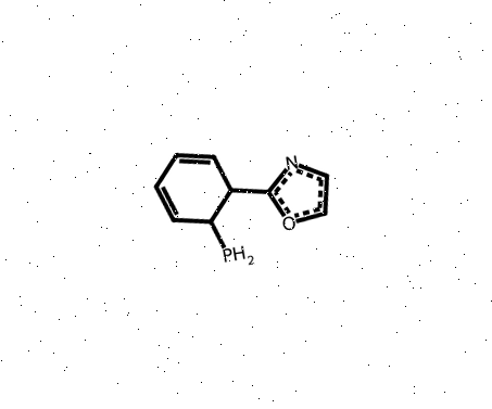 PC1C=CC=CC1c1ncco1